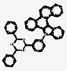 c1ccc(C2NC(c3ccccc3)NC(c3cccc(-n4c5ccccc5c5c6c7ccccc7ccc6c6ccccc6c54)c3)N2)cc1